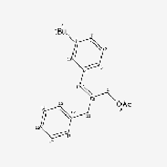 CC(=O)OC/C(=C\c1cccc(C(C)(C)C)c1)Cc1ccccc1